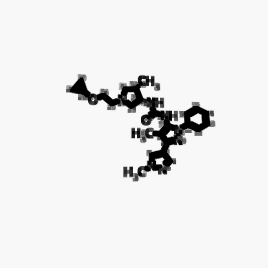 Cc1c(-c2cnn(C)c2)nn(-c2ccccc2)c1NC(=O)N[C@@H]1CN(CCOC2CC2)C[C@H]1C